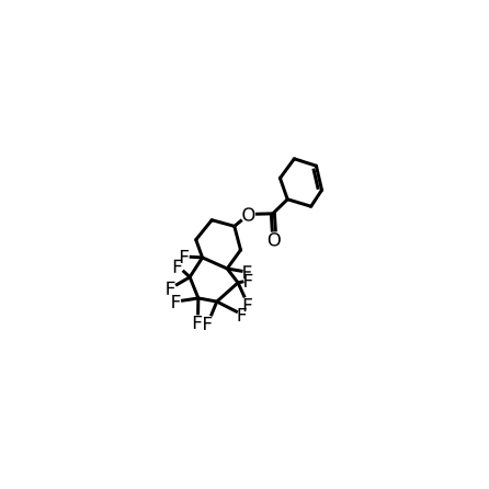 O=C(OC1CCC2(F)C(F)(F)C(F)(F)C(F)(F)C(F)(F)C2(F)C1)C1CC=CCC1